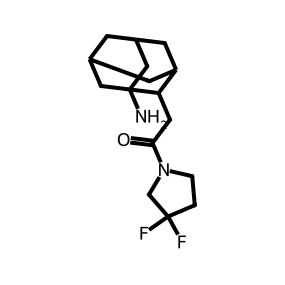 NC12CC3CC(CC(C3)C1CC(=O)N1CCC(F)(F)C1)C2